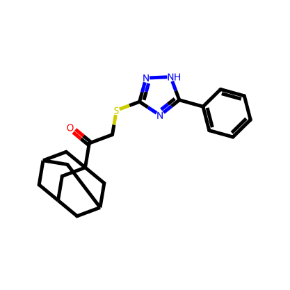 O=C(CSc1n[nH]c(-c2ccccc2)n1)C12CC3CC(CC(C3)C1)C2